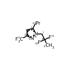 CC(C)c1cc(C(F)(F)F)nn1CC(C)(F)F